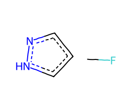 CF.c1cn[nH]c1